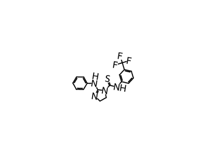 FC(F)(F)c1cccc(NC(=S)N2CCN=C2Nc2ccccc2)c1